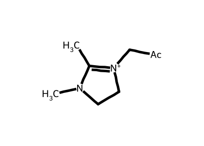 CC(=O)C[N+]1=C(C)N(C)CC1